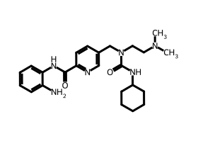 CN(C)CCN(Cc1ccc(C(=O)Nc2ccccc2N)nc1)C(=O)NC1CCCCC1